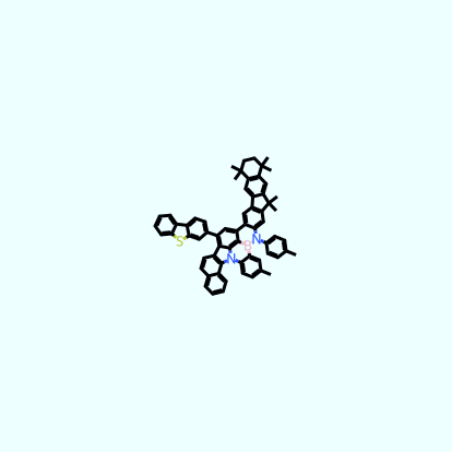 Cc1ccc(N2B3c4cc(C)ccc4-n4c5c3c(cc(-c3ccc6c(c3)sc3ccccc36)c5c3ccc5ccccc5c34)-c3cc4c(cc32)C(C)(C)c2cc3c(cc2-4)C(C)(C)CCC3(C)C)cc1